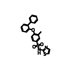 Cc1cc(S(=O)(=O)Nc2nccs2)ccc1Oc1ccccc1-c1ccccc1